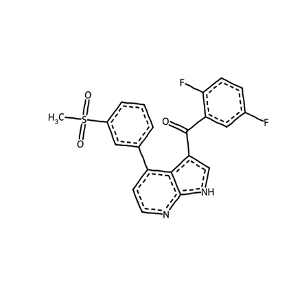 CS(=O)(=O)c1cccc(-c2ccnc3[nH]cc(C(=O)c4cc(F)ccc4F)c23)c1